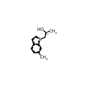 Cc1ccc2ccn(C[C@H](C)O)c2c1